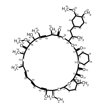 COC1CC2CCC(C)C(O)(O2)C(=O)C(=O)N2CCCCC2C(=O)OC(C(C)CC2CCC(C)C(OC)C2)CC(=O)C(C)/C=C(\C)C(O)C(OC)C(=O)C(C)CC(C)/C=C/C=C/C=C\1C